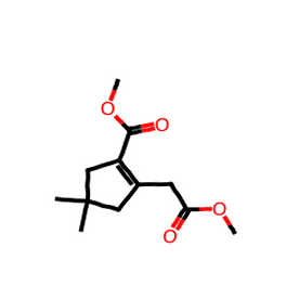 COC(=O)CC1=C(C(=O)OC)CC(C)(C)C1